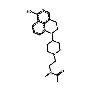 CC(=O)N(C)CCN1CCC(N2CCc3cnc(O)c4cccc2c34)CC1